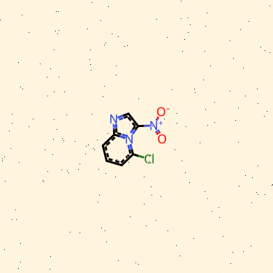 O=[N+]([O-])c1cnc2cccc(Cl)n12